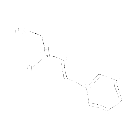 CC[SiH](Cl)C=Cc1ccccc1